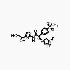 CS(=O)(=O)c1ccc(/C(=C\[C@H]2C[C@@H](F)[C@@H](F)C2)C(=O)Nc2nc(C(O)CO)cs2)cc1